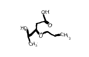 [CH2]C(O)C(CC(=O)O)OCC=C